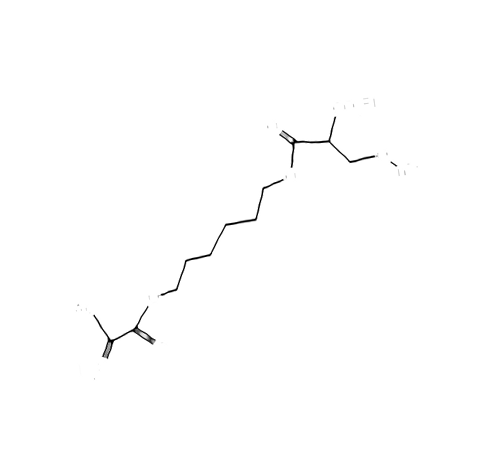 C=C(C(C)=O)C(=O)OCCCCCCOC(=O)C(COCCC)C(=O)OCC